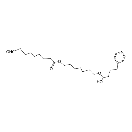 O=CCCCCCCCC(=O)OCCCCCCCOC(O)CCCc1ccccc1